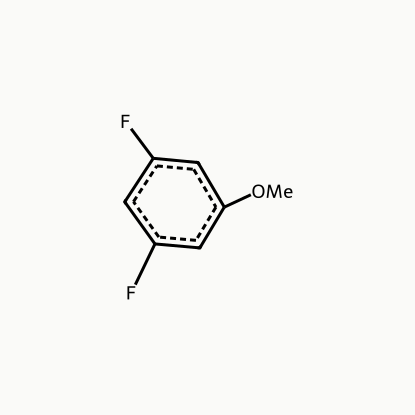 COc1cc(F)cc(F)c1